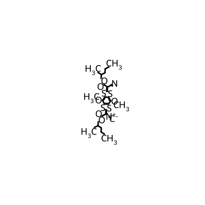 [C-]#[N+]C(C(=O)OCC(CC)CCCC)=C1Sc2c(OC)c3c(c(OC)c2S1)SC(=C(C#N)C(=O)OCC(CC)CCCC)S3